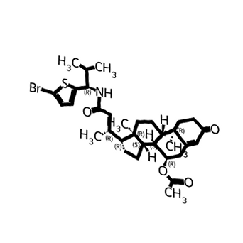 CC(=O)O[C@@H]1CC2=CC(=O)CC[C@]2(C)[C@H]2CC[C@]3(C)[C@@H]([C@H](C)CC(=O)N[C@@H](c4ccc(Br)s4)C(C)C)CC[C@H]3[C@H]12